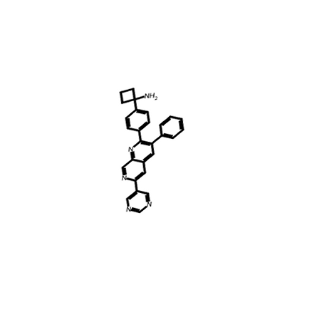 NC1(c2ccc(-c3nc4cnc(-c5cncnc5)cc4cc3-c3ccccc3)cc2)CCC1